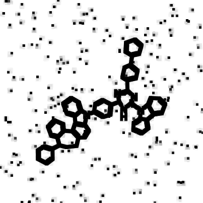 C1=C(C2=NC(c3ccc(-n4c5ccccc5c5c6c(ccc54)CCC(c4ccccc4)c4ccccc4-6)cc3)NC(n3c4ccccc4c4ccccc43)=N2)CCC(c2ccccc2)=C1